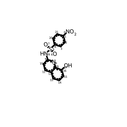 O=[N+]([O-])c1ccc(S(=O)(=O)Nc2ccc3cccc(O)c3n2)cc1